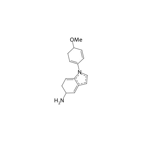 COC1C=CC(n2ccc3c2=CCC(N)C=3)=CC1